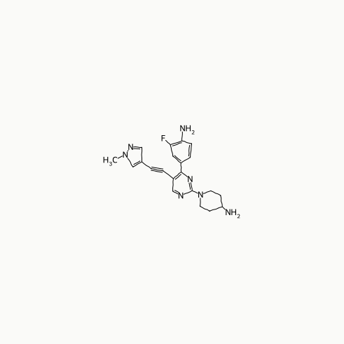 Cn1cc(C#Cc2cnc(N3CCC(N)CC3)nc2-c2ccc(N)c(F)c2)cn1